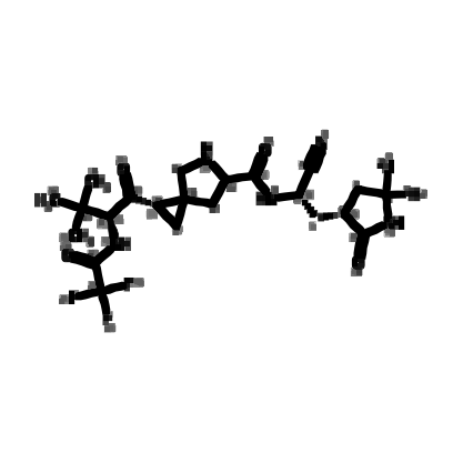 [2H]C1([2H])C[C@@H](C[C@@H](C#N)NC(=O)C2CC3(CN2)C[C@@H]3C(=O)[C@@H](NC(=O)C(F)(F)F)C(C)(C)C)C(=O)N1